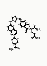 CC(=O)N1CCC(c2ccc3cc(CN4CCC(Oc5ccc6c(c5)CN(C(CCC(=O)O)C(N)=O)C6=O)C4)ccc3n2)CC1